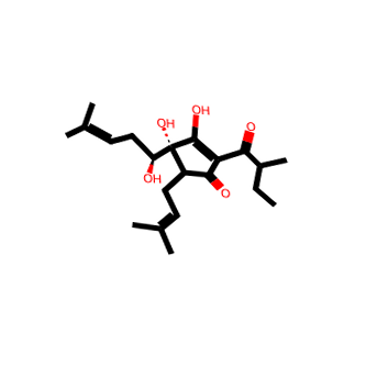 CCC(C)C(=O)C1=C(O)[C@](O)([C@@H](O)CC=C(C)C)C(CC=C(C)C)C1=O